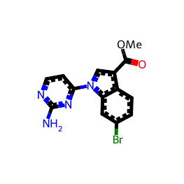 COC(=O)c1cn(-c2ccnc(N)n2)c2cc(Br)ccc12